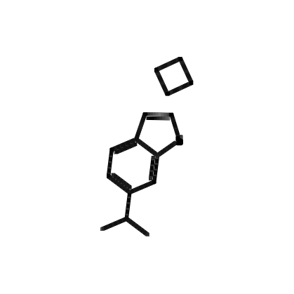 C1CCC1.CC(C)c1ccc2ccsc2c1